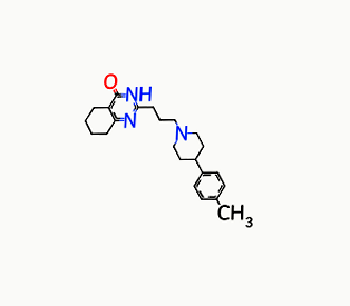 Cc1ccc(C2CCN(CCCc3nc4c(c(=O)[nH]3)CCCC4)CC2)cc1